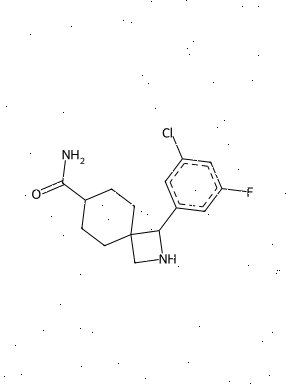 NC(=O)C1CCC2(CC1)CNC2c1cc(F)cc(Cl)c1